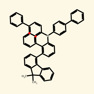 CC1(C)c2ccccc2-c2c(-c3cccc(N(c4ccc(-c5ccccc5)cc4)c4ccc(-c5ccccc5)cc4)c3-c3ccccc3)cccc21